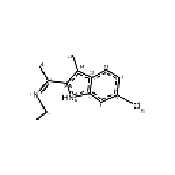 CC/N=C(/C)c1[nH]c2cc(Cl)ccc2c1C